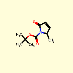 CC1C=CC(=O)N1C(=O)OC(C)(C)C